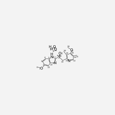 COc1ccc2[nH]c([S@@+]([O-])Cc3ncc(C)c(OC)c3C)nc2c1.O.O